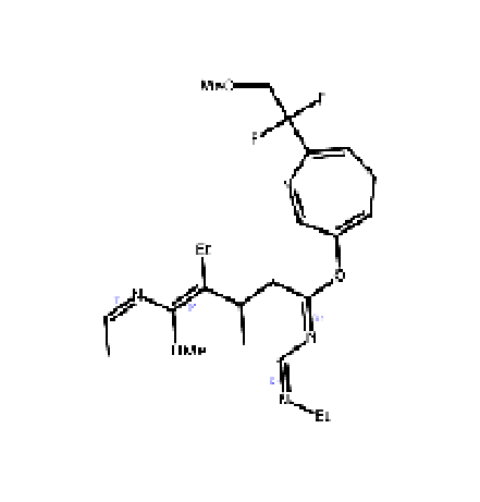 C/C=N\C(OC)=C(/CC)C(C)C/C(=N\C=N/CC)OC1=CCC=C(C(F)(F)COC)N=C1